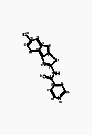 O=C(Nc1nc2c(s1)=CC1=CC(Cl)=CCC=21)c1ccncc1